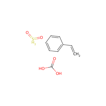 C=Cc1ccccc1.O=C(O)O.O=[SH2]=O